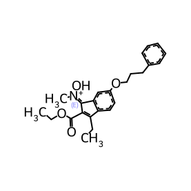 CCOC(=O)C1=C(CC)c2ccc(OCCCc3ccccc3)cc2/C1=[N+](/C)O